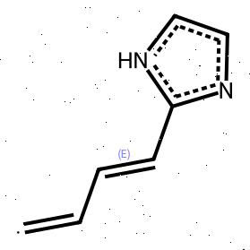 [CH]=C/C=C/c1ncc[nH]1